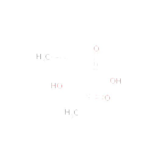 CC[C@](O)(C(C)=O)C(=O)O